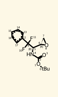 CC(C)(C)OC(=O)N[C@H]([C@@H]1CO1)C(F)(F)c1ccccc1